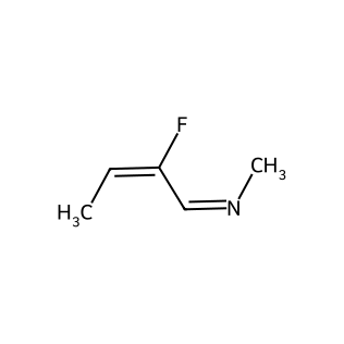 C/C=C(F)\C=N/C